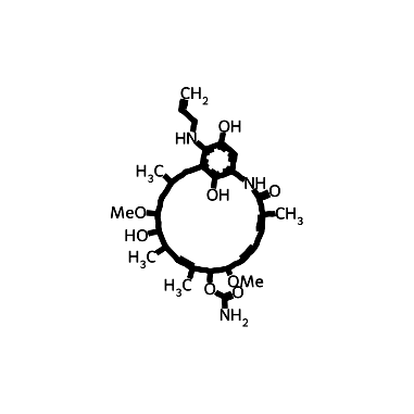 C=CCNc1c(O)cc2c(O)c1CC(C)CC(OC)C(O)C(C)C=C(C)C(OC(N)=O)C(OC)C=CC=C(C)C(=O)N2